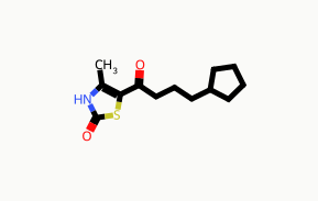 Cc1[nH]c(=O)sc1C(=O)CCCC1CCCC1